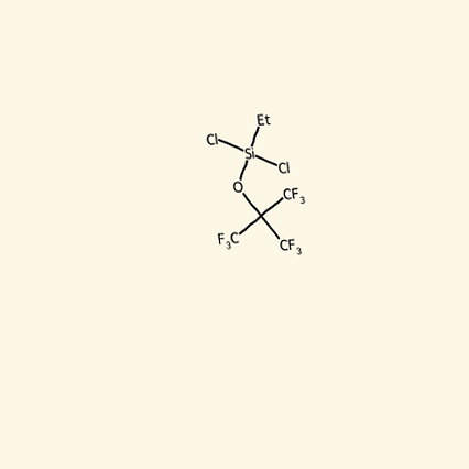 CC[Si](Cl)(Cl)OC(C(F)(F)F)(C(F)(F)F)C(F)(F)F